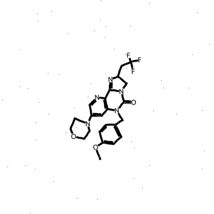 COc1ccc(CN2C(=O)N3CC(CC(F)(F)F)N=C3c3ncc(N4CCOCC4)cc32)cc1